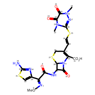 CON=C(C(=O)NC1C(=O)N2C(C(=O)O)=C(C=CSc3nn(C)c(=O)c(=O)n3C)CSC12)c1csc(N)n1